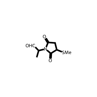 CSC1CC(=O)N(C(C)C=O)C1=O